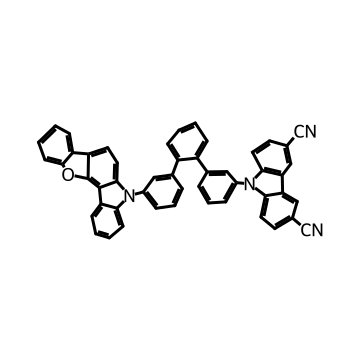 N#Cc1ccc2c(c1)c1cc(C#N)ccc1n2-c1cccc(-c2ccccc2-c2cccc(-n3c4ccccc4c4c5oc6ccccc6c5ccc43)c2)c1